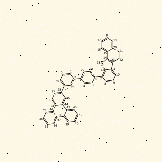 c1cc(-c2ccc(-c3cccc4c3sc3c5ccccc5ccc43)cc2)cc(-c2ccc3c4ccccc4c4ccccc4c3c2)c1